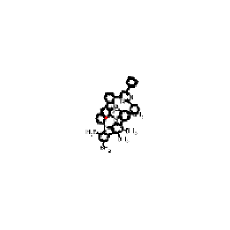 Bc1cc(B)c2c(c1)c1c(B)c(B)c3c4cc(B)cc(B)c4n(-c4cccc5c4oc4c(-c6cc(-c7ccccc7)nc(-c7ccccc7)n6)cccc45)c3c1n2-c1ccccc1